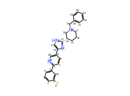 Fc1cccc(-c2ccc(-c3c[nH]c([C@H]4CCCN(Cc5ccccc5)C4)n3)cn2)c1